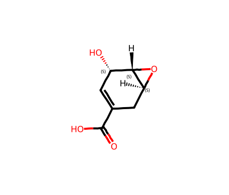 O=C(O)C1=C[C@H](O)[C@@H]2O[C@H]2C1